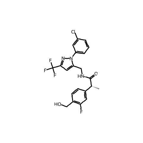 C[C@@H](C(=O)NCc1cc(C(F)(F)F)nn1-c1cccc(Cl)c1)c1ccc(CO)c(F)c1